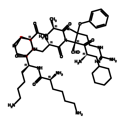 CC(=O)C(CCNC(=N)N)(Oc1ccccc1)[C@]([C]=O)(C(=O)[C@@H](N)CC1CCCCC1)N(C(=O)[C@H](C)NC(=O)[C@H](CC(C)C)NC(=O)[C@H](CCCCN)NC(=O)[C@@H](N)CCCCN)C(=O)[C@@H](N)CC1CCCCC1